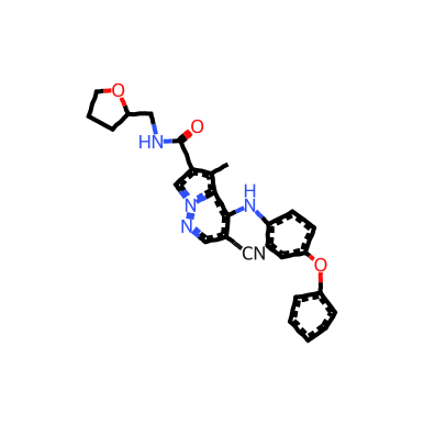 Cc1c(C(=O)NCC2CCCO2)cn2ncc(C#N)c(Nc3ccc(Oc4ccccc4)cc3)c12